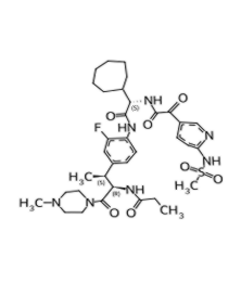 CCC(=O)N[C@@H](C(=O)N1CCN(C)CC1)[C@@H](C)c1ccc(NC(=O)[C@@H](NC(=O)C(=O)c2ccc(NS(C)(=O)=O)nc2)C2CCCCCC2)c(F)c1